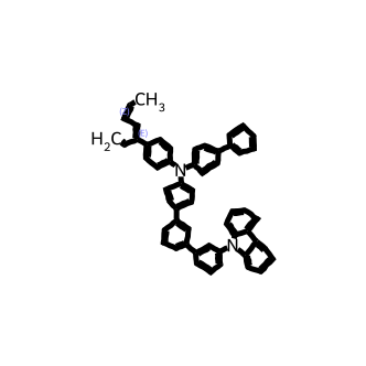 C=C/C(=C\C=C/C)c1ccc(N(c2ccc(-c3ccccc3)cc2)c2ccc(-c3cccc(-c4cccc(-n5c6ccccc6c6ccccc65)c4)c3)cc2)cc1